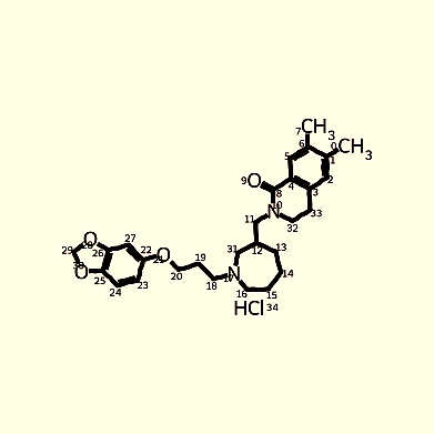 Cc1cc2c(cc1C)C(=O)N(CC1CCCCN(CCCOc3ccc4c(c3)OCO4)C1)CC2.Cl